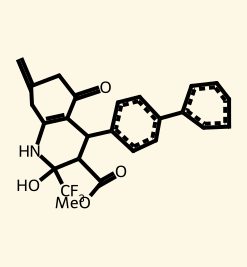 C=C1CC(=O)C2=C(C1)NC(O)(C(F)(F)F)C(C(=O)OC)C2c1ccc(-c2ccccc2)cc1